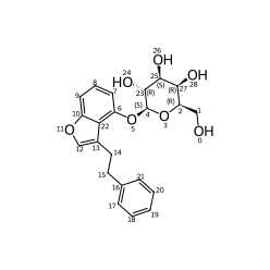 OC[C@H]1O[C@@H](Oc2cccc3occ(CCc4ccccc4)c23)[C@H](O)[C@@H](O)[C@H]1O